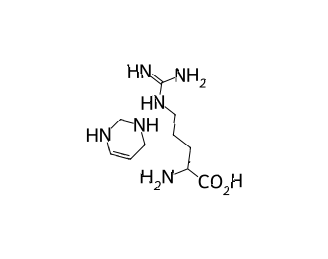 C1=CNCNC1.N=C(N)NCCCC(N)C(=O)O